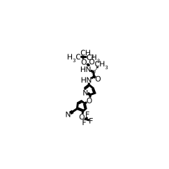 CC[C@@H](NC(=O)OC(C)(C)C)C(=O)Nc1ccc(Oc2ccc(C#N)c(OC(F)(F)F)c2)nc1